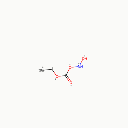 CC(C)(C)COC(=O)ONO